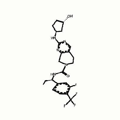 CC[C@@H](NC(=O)N1CCc2cnc(N[C@H]3CC[C@H](O)C3)nc2C1)c1ccc(C(F)(F)F)c(F)c1